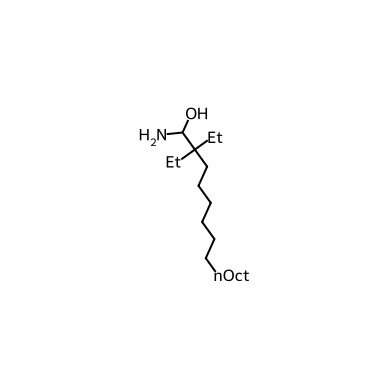 CCCCCCCCCCCCCCC(CC)(CC)C(N)O